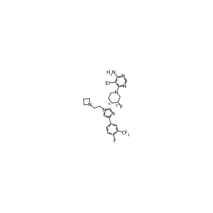 CCc1c(N)ncnc1N1CC[C@@H](c2nc(-c3ccc(F)c(C(F)(F)F)c3)cn2CCN2CCC2)[C@H](F)C1